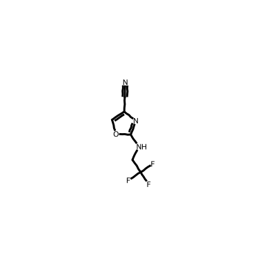 N#Cc1coc(NCC(F)(F)F)n1